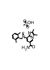 CS(=O)(=O)O.Cc1cccc(C)c1CN(F)c1cc(C(N)=O)cn2c(C)c(C)nc12